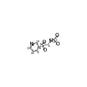 O=[SH](=O)SCS(=O)(=O)c1cccnc1